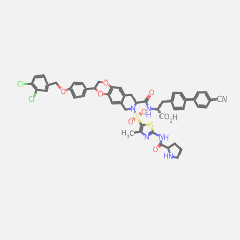 Cc1nc(NC(=O)C2CCCN2)sc1S(=O)(=O)N1Cc2cc3c(cc2CC1C(=O)NC(Cc1ccc(-c2ccc(C#N)cc2)cc1)C(=O)O)OCC(c1ccc(OCc2ccc(Cl)c(Cl)c2)cc1)O3